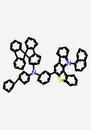 c1ccc(-c2ccc(N(c3cccc(-c4cc5c6ccccc6n(-c6cccc7ccccc67)c5c5c4sc4ccccc45)c3)c3ccc4c(c3)C3(c5ccccc5-c5ccccc53)c3ccccc3-4)cc2)cc1